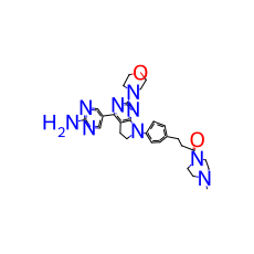 CN1CCN(C(=O)CCc2ccc(N3CCc4c(-c5cnc(N)nc5)nc(N5CCOCC5)nc43)cc2)CC1